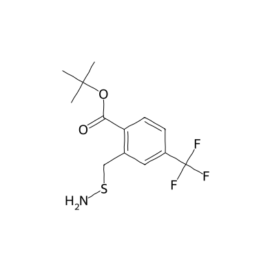 CC(C)(C)OC(=O)c1ccc(C(F)(F)F)cc1CSN